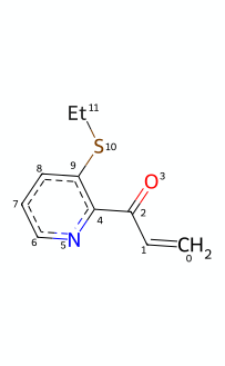 C=CC(=O)c1ncccc1SCC